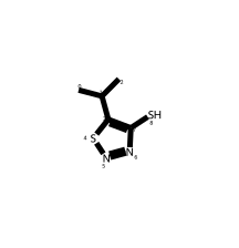 CC(C)c1snnc1S